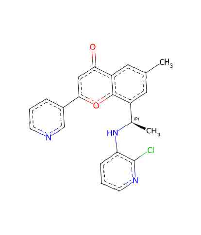 Cc1cc([C@@H](C)Nc2cccnc2Cl)c2oc(-c3cccnc3)cc(=O)c2c1